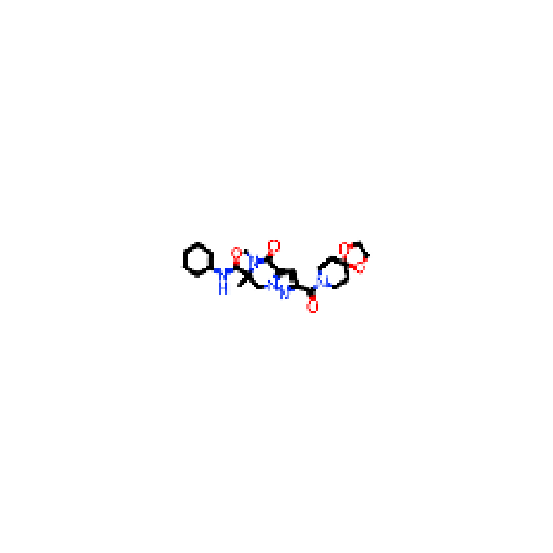 CN1C(=O)c2cc(C(=O)N3CCC4(CC3)OCCO4)nn2CC1(C)C(=O)NC1CCCCC1